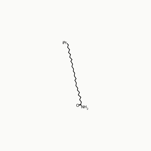 CC(C)CCCCCCCCCCCCCCCCCCCCCCCCCC(N)=O